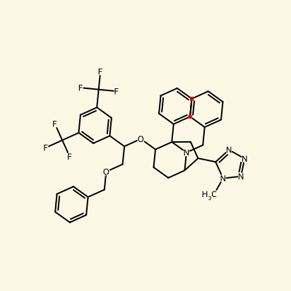 Cn1nnnc1C1CC2(c3ccccc3)C(OC(COCc3ccccc3)c3cc(C(F)(F)F)cc(C(F)(F)F)c3)CCC1N2Cc1ccccc1